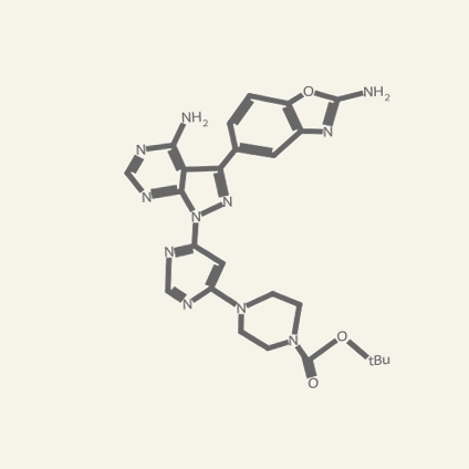 CC(C)(C)OC(=O)N1CCN(c2cc(-n3nc(-c4ccc5oc(N)nc5c4)c4c(N)ncnc43)ncn2)CC1